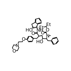 CCC(CC)OC(=O)N(C)C(Cc1ccccc1)C(O)CC(Cc1ccc(OCCN2CCOCC2)cc1)C(=O)N[C@H]1c2ccccc2C[C@@H]1O